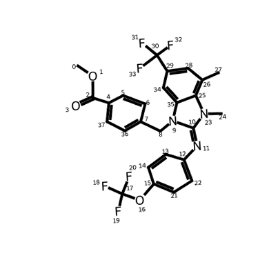 COC(=O)c1ccc(Cn2c(=Nc3ccc(OC(F)(F)F)cc3)n(C)c3c(C)cc(C(F)(F)F)cc32)cc1